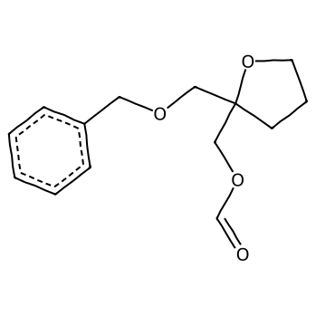 O=COCC1(COCc2ccccc2)CCCO1